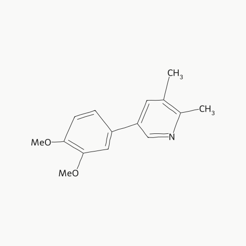 COc1ccc(-c2cnc(C)c(C)c2)cc1OC